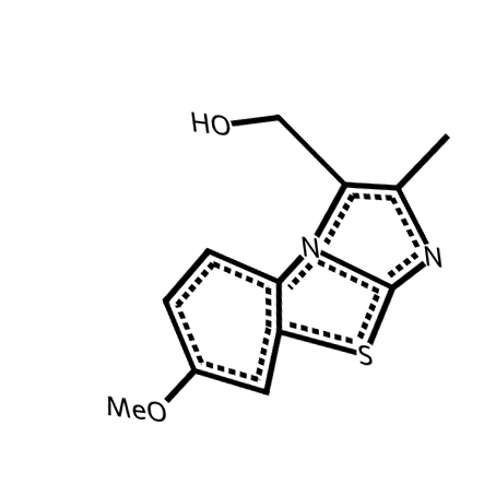 COc1ccc2c(c1)sc1nc(C)c(CO)n12